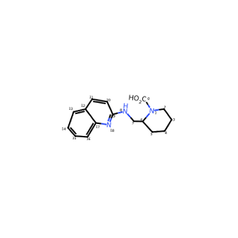 O=C(O)N1CCCCC1CNc1ccc2ccccc2n1